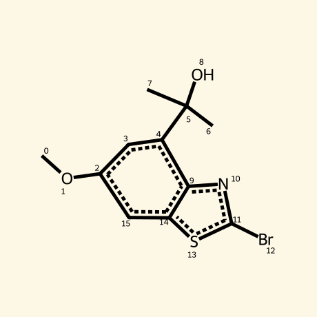 COc1cc(C(C)(C)O)c2nc(Br)sc2c1